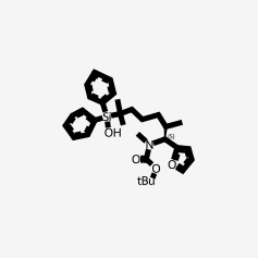 CC(CCCC(C)(C)[Si](O)(c1ccccc1)c1ccccc1)[C@@H](c1ccco1)N(C)C(=O)OC(C)(C)C